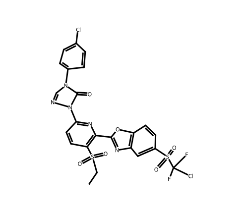 CCS(=O)(=O)c1ccc(-n2ncn(-c3ccc(Cl)cc3)c2=O)nc1-c1nc2cc(S(=O)(=O)C(F)(F)Cl)ccc2o1